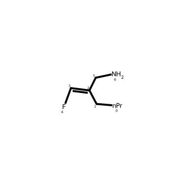 CCCC/C(=C\F)CN